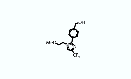 COCCn1cc(C(F)(F)F)nc1-c1ccc(CO)cc1